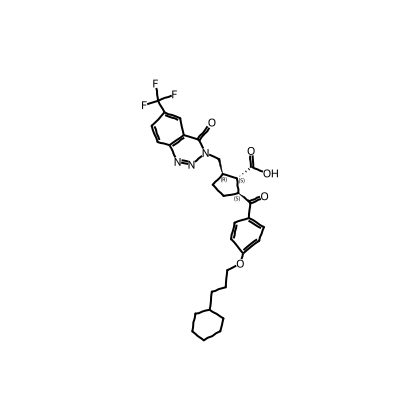 O=C(O)[C@H]1[C@H](Cn2nnc3ccc(C(F)(F)F)cc3c2=O)CC[C@@H]1C(=O)c1ccc(OCCCC2CCCCC2)cc1